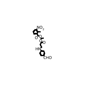 Cc1c(C(=O)OC(C)OC(=O)CCNc2ccc(C=O)cc2)cccc1[N+](=O)[O-]